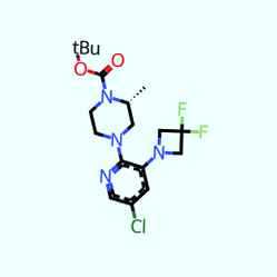 C[C@@H]1CN(c2ncc(Cl)cc2N2CC(F)(F)C2)CCN1C(=O)OC(C)(C)C